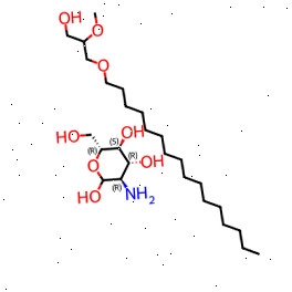 CCCCCCCCCCCCCCCCOCC(CO)OC.N[C@H]1C(O)O[C@H](CO)[C@@H](O)[C@@H]1O